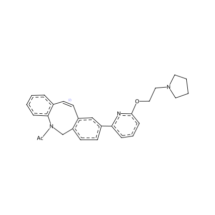 CC(=O)N1Cc2ccc(-c3cccc(OCCN4CCCC4)n3)cc2/C=C\c2ccccc21